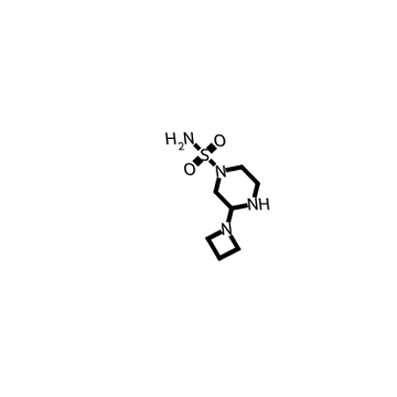 NS(=O)(=O)N1CCNC(N2CCC2)C1